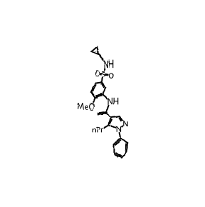 C=C(Nc1cc(S(=O)(=O)NC2CC2)ccc1OC)c1cnn(-c2ccccc2)c1CCC